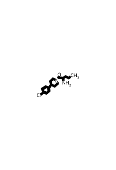 CCCC(N)C(=O)N1CCC(c2ccc(Cl)cc2)CC1